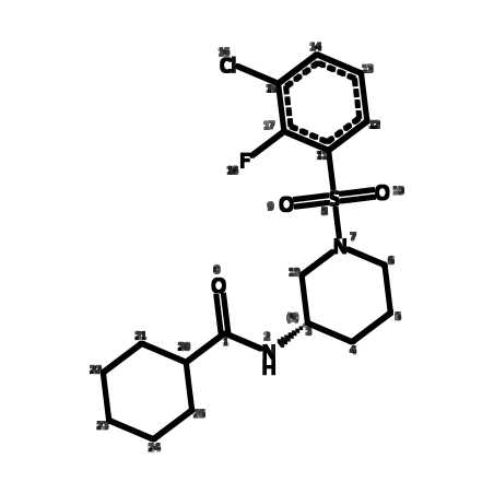 O=C(N[C@H]1CCCN(S(=O)(=O)c2cccc(Cl)c2F)C1)C1CCCCC1